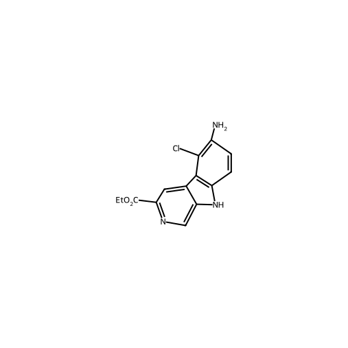 CCOC(=O)c1cc2c(cn1)[nH]c1ccc(N)c(Cl)c12